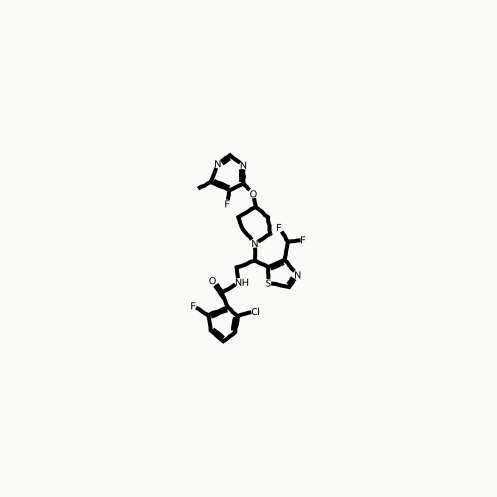 Cc1ncnc(OC2CCN(C(CNC(=O)c3c(F)cccc3Cl)c3scnc3C(F)F)CC2)c1F